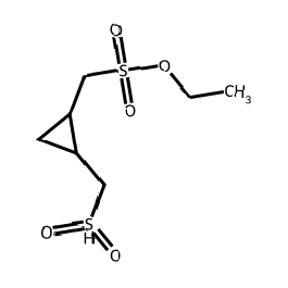 CCOS(=O)(=O)CC1CC1C[SH](=O)=O